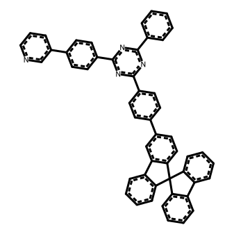 c1ccc(-c2nc(-c3ccc(-c4cccnc4)cc3)nc(-c3ccc(-c4ccc5c(c4)-c4ccccc4C54c5ccccc5-c5ccccc54)cc3)n2)cc1